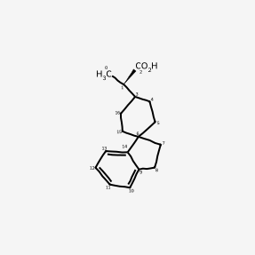 C[C@@H](C(=O)O)C1CCC2(CCc3ccccc32)CC1